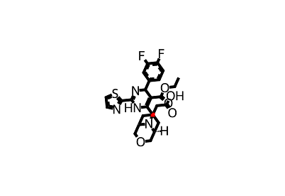 CCOC(=O)C1=C(CN2C3COC[C@@H]2CC(CC(=O)O)C3)NC(c2nccs2)=NC1c1ccc(F)c(F)c1